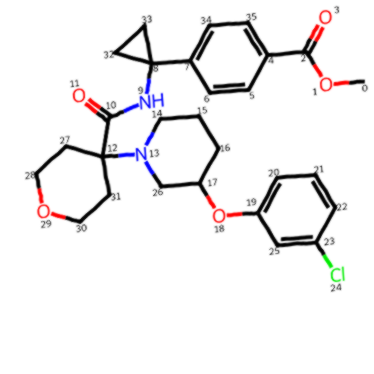 COC(=O)c1ccc(C2(NC(=O)C3(N4CCCC(Oc5cccc(Cl)c5)C4)CCOCC3)CC2)cc1